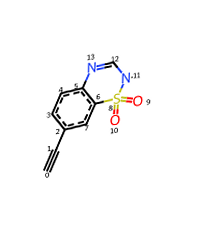 C#Cc1ccc2c(c1)S(=O)(=O)[N]C=N2